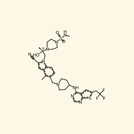 CNS(=O)(=O)N1CCN([C@@](C)(O)Cn2c(C#N)cc3c(C)c(CN4CCC(Nc5ncnc6sc(CC(F)(F)F)cc56)CC4)ccc32)CC1